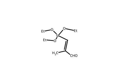 CCO[Si](C=C(C)C=O)(OCC)OCC